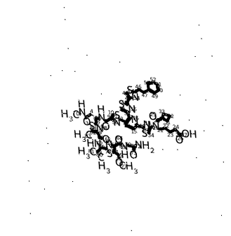 CNC(=O)C[C@H](NC(=O)c1csc(-c2ccc(-c3nc(N(CCCCC(=O)O)C(=O)C4CCC4)cs3)nc2-c2csc(-c3csc(CCc4ccccc4)n3)n2)n1)c1nc(C(=O)NC(c2nc(C(=O)NCC(N)=O)c(COC)s2)C(C)C)c(C)s1